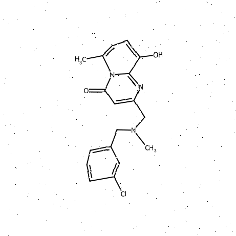 Cc1ccc(O)c2nc(CN(C)Cc3cccc(Cl)c3)cc(=O)n12